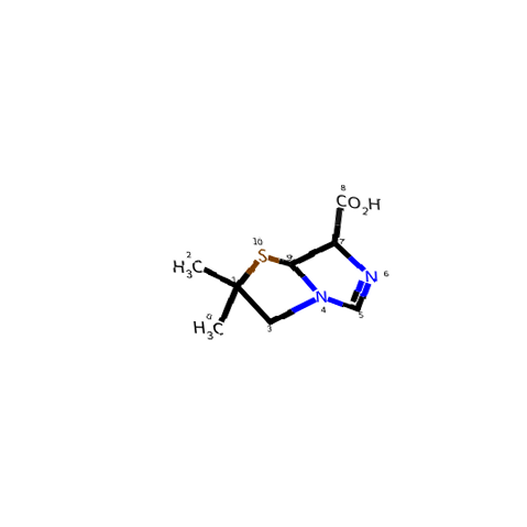 CC1(C)CN2C=NC(C(=O)O)C2S1